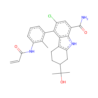 C=CC(=O)Nc1cccc(-c2c(Cl)cc(C(N)=O)c3[nH]c4c(c23)CCC(C(C)(C)O)C4)c1C